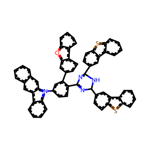 c1ccc2cc3c(cc2c1)c1ccccc1n3-c1ccc(C2=NC(c3ccc4sc5ccccc5c4c3)NC(c3ccc4sc5ccccc5c4c3)=N2)c(-c2ccc3c(c2)oc2ccccc23)c1